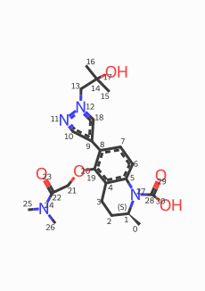 C[C@H]1CCc2c(ccc(-c3cnn(CC(C)(C)O)c3)c2OCC(=O)N(C)C)N1C(=O)O